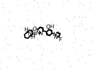 Oc1cc(-n2ccc(F)n2)ccc1-c1ccc(O[C@H]2C[C@@H]3CCC[C@@H](N3)[C@H]2F)nn1